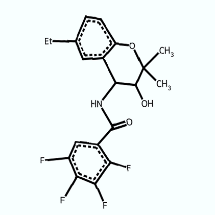 CCc1ccc2c(c1)C(NC(=O)c1cc(F)c(F)c(F)c1F)C(O)C(C)(C)O2